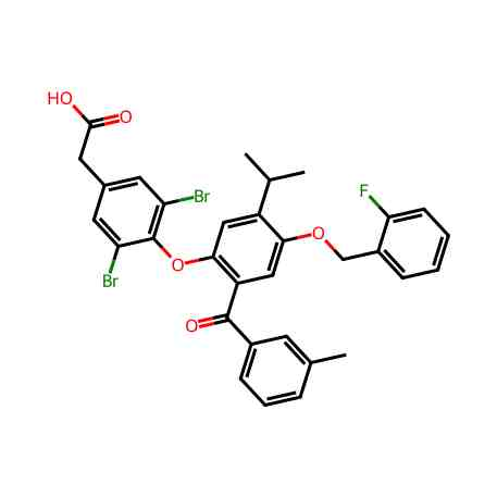 Cc1cccc(C(=O)c2cc(OCc3ccccc3F)c(C(C)C)cc2Oc2c(Br)cc(CC(=O)O)cc2Br)c1